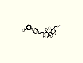 Cc1oc2ncn(CC(C)C)c(=O)c2c1C(=O)NCCN1CCN(c2cccc(Cl)c2)CC1